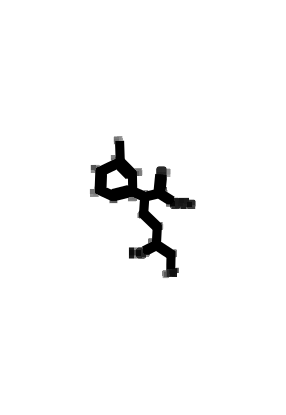 COC(=O)C(CCC(O)CBr)c1cccc(C)c1